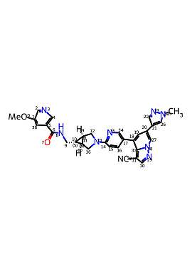 COc1cncc(C(=O)NC[C@@H]2[C@H]3CN(c4ccc(-c5cc(-c6cnn(C)c6)cn6ncc(C#N)c56)cn4)C[C@@H]23)c1